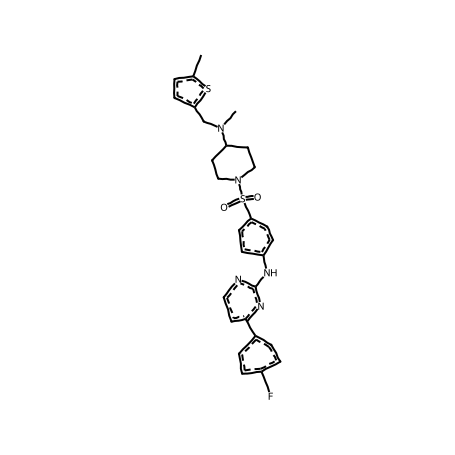 Cc1ccc(CN(C)C2CCN(S(=O)(=O)c3ccc(Nc4nccc(-c5ccc(F)cc5)n4)cc3)CC2)s1